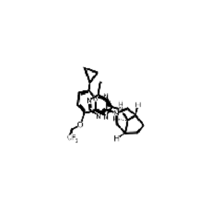 Cc1cc(N2C[C@H]3CC[C@@H](C2)[C@@H]3Nc2nc3c(OCC(F)(F)F)ccc(C4CC4)n3n2)ncn1